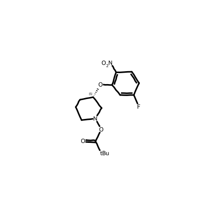 CC(C)(C)C(=O)ON1CCC[C@H](Oc2cc(F)ccc2[N+](=O)[O-])C1